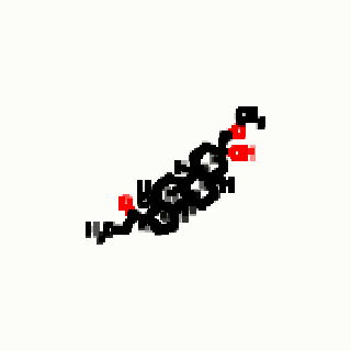 CCC(=O)[C@H]1CC[C@H]2[C@@H]3CC[C@@H]4C[C@@](O)(COC)CC[C@@H]4[C@H]3CC[C@]12C